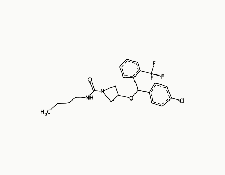 CCCCNC(=O)N1CC(OC(c2ccc(Cl)cc2)c2ccccc2C(F)(F)F)C1